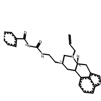 C=CCN1C[C@H](CCNC(=O)NC(=O)c2ccccc2)CC2c3cccc4[nH]cc(c34)C[C@H]21